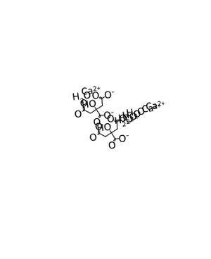 O.O.O.O.O.O=C([O-])CC(O)(CC(=O)[O-])C(=O)[O-].O=C([O-])CC(O)(CC(=O)[O-])C(=O)[O-].[Ca+2].[Ca+2].[Ca+2]